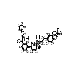 O=C(NCCN1CCCC1)c1cccc(-c2ccnc(NCCc3cccc(OC(F)(F)F)c3)n2)c1